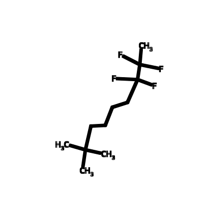 CC(C)(C)CCCCC(F)(F)C(C)(F)F